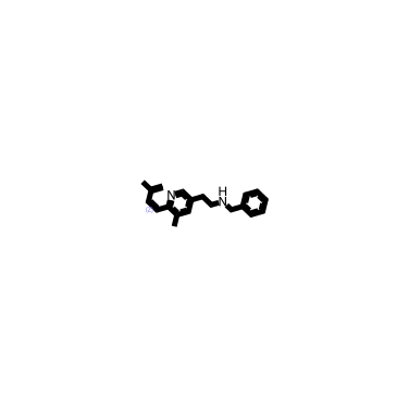 C=C(C)/C=C\c1ncc(CCNCc2ccccc2)cc1C